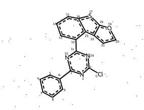 Clc1nc(-c2ccccc2)nc(-c2cccc3sc4occc4c23)n1